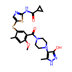 COc1cc(C)c(Sc2cnc(NC(=O)C3CC3)s2)cc1C(=O)N1CCN(c2c(O)n[nH]c2C)CC1